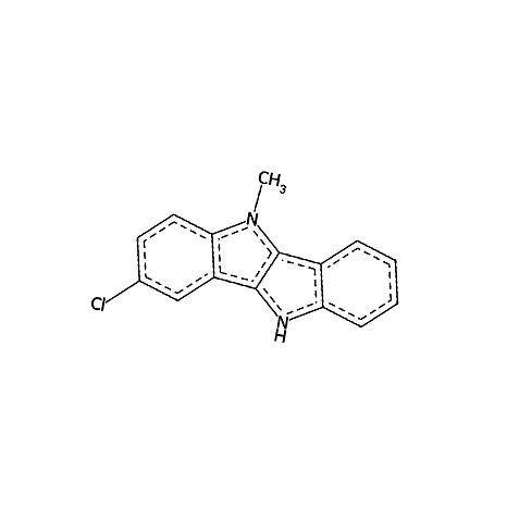 Cn1c2ccc(Cl)cc2c2[nH]c3ccccc3c21